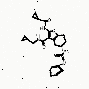 O=C(NCC1CC1)c1c(NC(=O)C2CC2)sc2c1C[C@@H](NC(=S)Oc1ccccc1)CC2